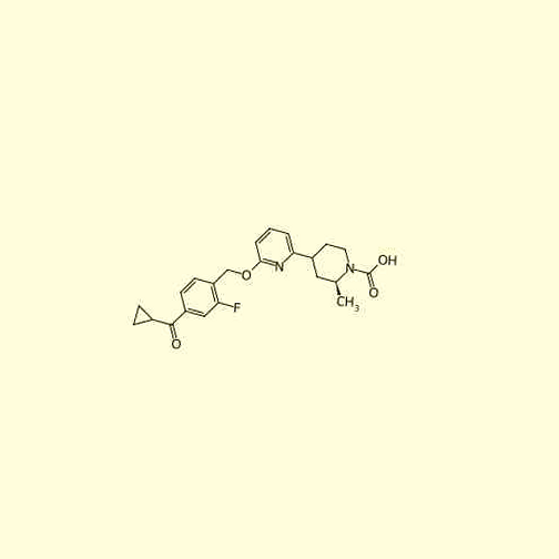 C[C@H]1CC(c2cccc(OCc3ccc(C(=O)C4CC4)cc3F)n2)CCN1C(=O)O